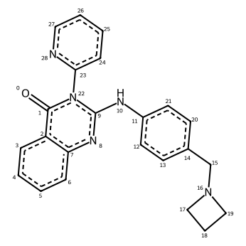 O=c1c2ccccc2nc(Nc2ccc(CN3CCC3)cc2)n1-c1ccccn1